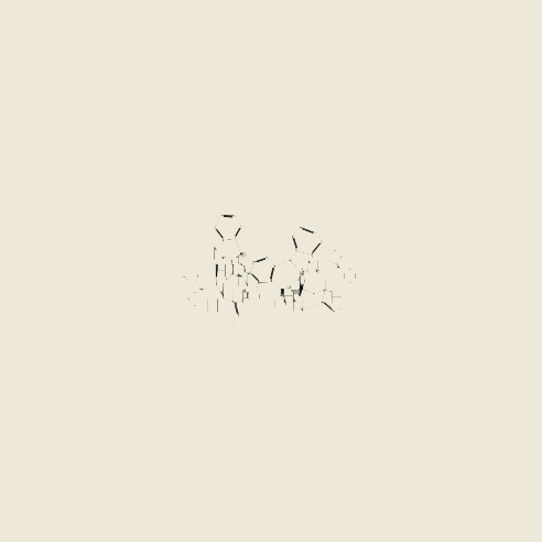 C/C=C1/CN2CC[C@]34c5ccccc5N5[C@H](C(=O)OC)[C@H]1C[C@H]2[C@@]53Oc1c4cc2c(c1O)C(=O)O[C@@]13[C@@H]4C[C@H]5/C(=C\C)CN4CC[C@@]21c1ccccc1N3[C@@H]5C(=O)OC